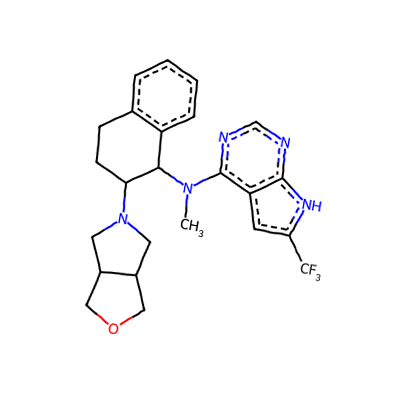 CN(c1ncnc2[nH]c(C(F)(F)F)cc12)C1c2ccccc2CCC1N1CC2COCC2C1